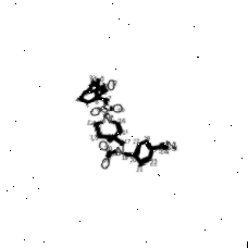 CC1(C)C2CCC1(CS(=O)(=O)N1CCC3(CC1)CN(Cc1ccc(C#N)cc1)C(=O)O3)C(=O)C2